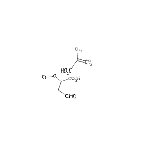 C=C(C)C(=O)O.CCOC(CC=O)C(=O)O